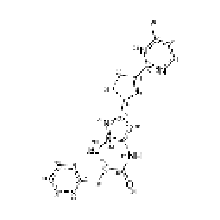 Cc1ccnc(C2=CC(c3cc(NC(=O)OCc4ccccc4)n(C(C)(C)C)n3)CC2)n1